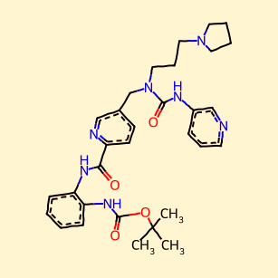 CC(C)(C)OC(=O)Nc1ccccc1NC(=O)c1ccc(CN(CCCN2CCCC2)C(=O)Nc2cccnc2)cn1